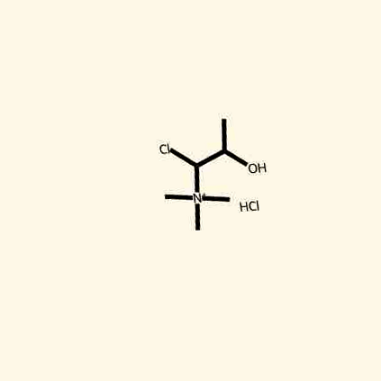 CC(O)C(Cl)[N+](C)(C)C.Cl